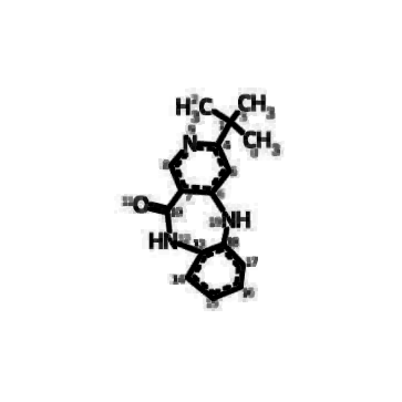 CC(C)(C)c1cc2c(cn1)C(=O)Nc1ccccc1N2